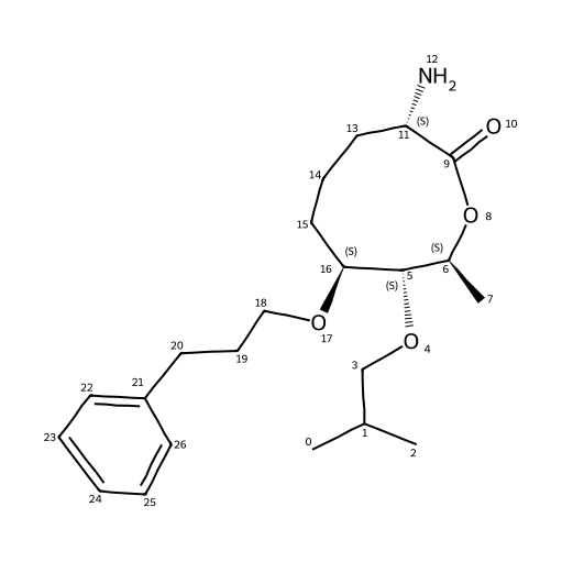 CC(C)CO[C@H]1[C@H](C)OC(=O)[C@@H](N)CCC[C@@H]1OCCCc1ccccc1